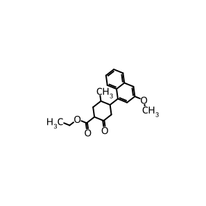 CCOC(=O)C1CC(C)C(c2cc(OC)cc3ccccc23)CC1=O